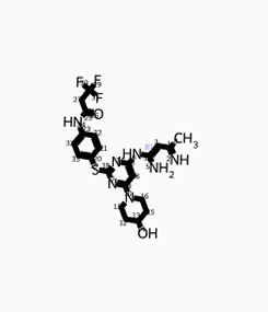 CC(=N)/C=C(\N)Nc1cc(N2CCC(O)CC2)nc(Sc2ccc(NC(=O)CC(F)(F)F)cc2)n1